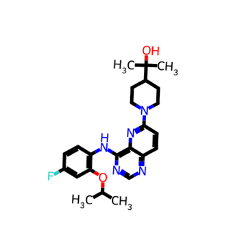 CC(C)Oc1cc(F)ccc1Nc1ncnc2ccc(N3CCC(C(C)(C)O)CC3)nc12